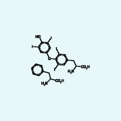 NC(Cc1cc(I)c(Oc2cc(I)c(O)c(I)c2)c(I)c1)C(=O)O.NC(Cc1ccccc1)C(=O)O